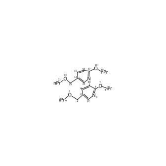 CC(C)OCc1ccc(OC(C)C)nc1.CCCOCc1ccc(OCCC)nc1